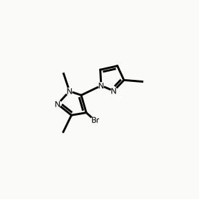 Cc1ccn(-c2c(Br)c(C)nn2C)n1